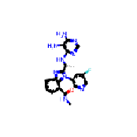 CNC(=O)c1cccc2nc([C@@H](C)Nc3ncnc(N)c3N)n(-c3cncc(F)c3)c12